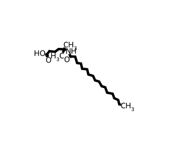 CCCCCCCCCCCCCCCCCC(=O)NC(C)(C)CCCC(=O)O